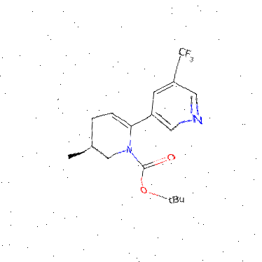 C[C@H]1CC=C(c2cncc(C(F)(F)F)c2)N(C(=O)OC(C)(C)C)C1